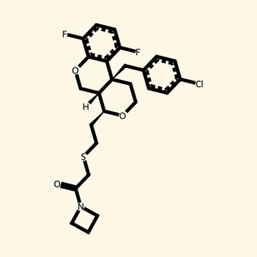 O=C(CSCC[C@@H]1OCC[C@@]2(Cc3ccc(Cl)cc3)c3c(F)ccc(F)c3OC[C@@H]12)N1CCC1